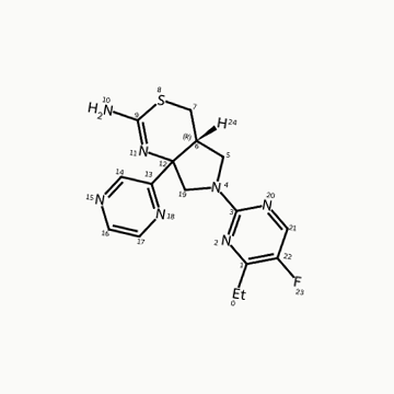 CCc1nc(N2C[C@H]3CSC(N)=NC3(c3cnccn3)C2)ncc1F